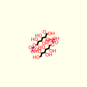 O=C(CO)C(O)C(O)C(O)COP(=O)(O)O.O=C(O)C(O)C(O)C(O)C(O)COP(=O)(O)O